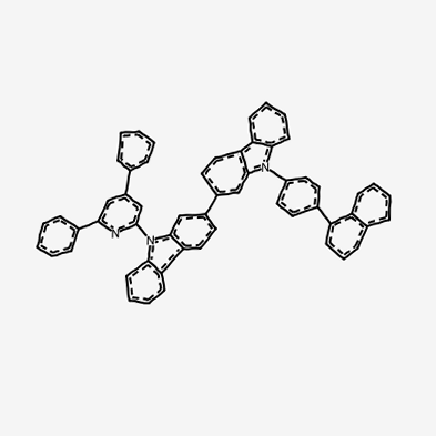 c1ccc(-c2cc(-c3ccccc3)nc(-n3c4ccccc4c4ccc(-c5ccc6c7ccccc7n(-c7ccc(-c8cccc9ccccc89)cc7)c6c5)cc43)c2)cc1